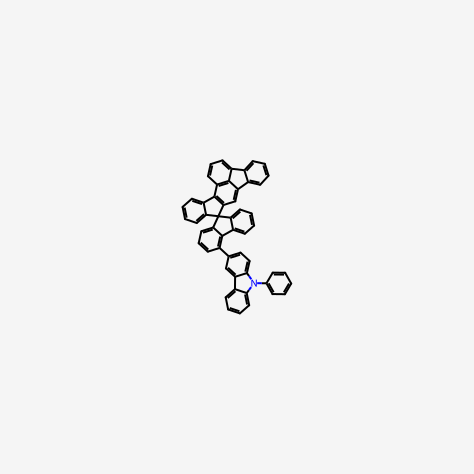 c1ccc(-n2c3ccccc3c3cc(-c4cccc5c4-c4ccccc4C54c5ccccc5-c5c4cc4c6c(cccc56)-c5ccccc5-4)ccc32)cc1